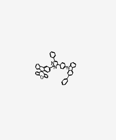 c1ccc(-c2ccc3c4ccccc4n(-c4ccc(-c5cc(-c6ccccc6)nc(-c6ccc7c(c6)-c6ccccc6C76c7ccccc7Oc7ccccc76)n5)cc4)c3c2)cc1